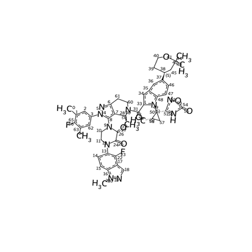 Cc1cc(-n2nc3c(c2N2CCN(c4ccc5c(cnn5C)c4F)C(=O)C2=O)[C@H](C)N(C(=O)c2cc4cc([C@H]5CCOC(C)(C)C5)ccc4n2[C@@]2(c4noc(=O)[nH]4)C[C@@H]2C)CC3)cc(C)c1F